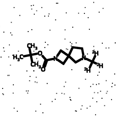 [2H]C([2H])([2H])N1CCC2(CN(C(=O)OC(C)(C)C)C2)C1